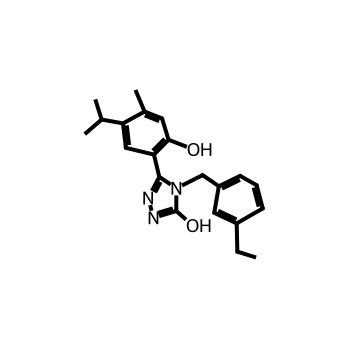 CCc1cccc(Cn2c(O)nnc2-c2cc(C(C)C)c(C)cc2O)c1